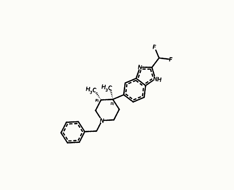 C[C@H]1CN(Cc2ccccc2)CC[C@]1(C)c1ccc2[nH]c(C(F)F)nc2c1